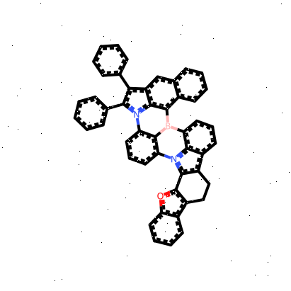 c1ccc(-c2c(-c3ccccc3)n3c4c(c5ccccc5cc24)B2c4c(cccc4-3)-n3c4c(c5cccc2c53)CCc2c-4oc3ccccc23)cc1